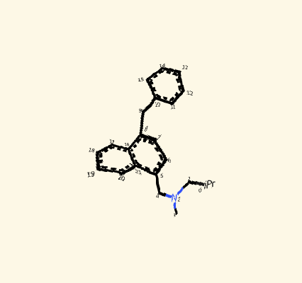 CC(C)CN(C)Cc1ccc(Cc2ccccc2)c2ccccc12